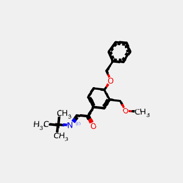 COCC1=CC(C(=O)/C=N/C(C)(C)C)=CCC1OCc1ccccc1